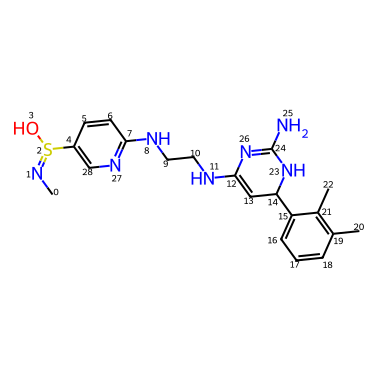 C/N=S(/O)c1ccc(NCCNC2=CC(c3cccc(C)c3C)NC(N)=N2)nc1